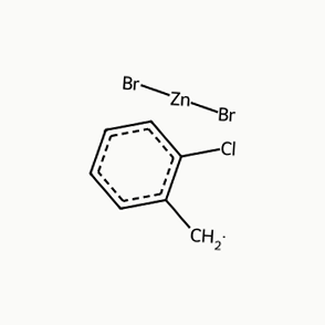 [Br][Zn][Br].[CH2]c1ccccc1Cl